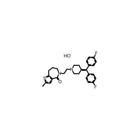 Cc1cc2c(s1)CCCN(CCN1CCC(=C(c3ccc(F)cc3)c3ccc(F)cc3)CC1)C2=O.Cl